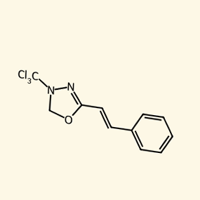 ClC(Cl)(Cl)N1COC(C=Cc2ccccc2)=N1